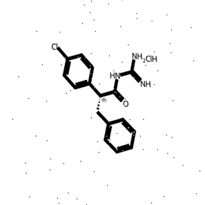 Cl.N=C(N)NC(=O)[C@H](Cc1ccccc1)c1ccc(Cl)cc1